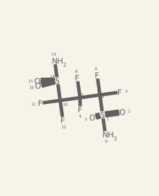 NS(=O)(=O)C(F)(F)C(F)(F)C(F)(F)S(N)(=O)=O